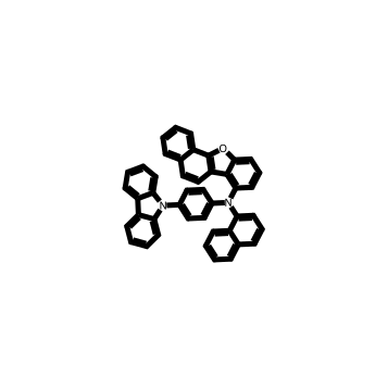 c1ccc2c(N(c3ccc(-n4c5ccccc5c5ccccc54)cc3)c3cccc4oc5c6ccccc6ccc5c34)cccc2c1